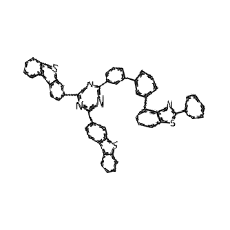 c1ccc(-c2nc3c(-c4cccc(-c5cccc(-c6nc(-c7ccc8c(c7)sc7ccccc78)nc(-c7ccc8c(c7)sc7ccccc78)n6)c5)c4)cccc3s2)cc1